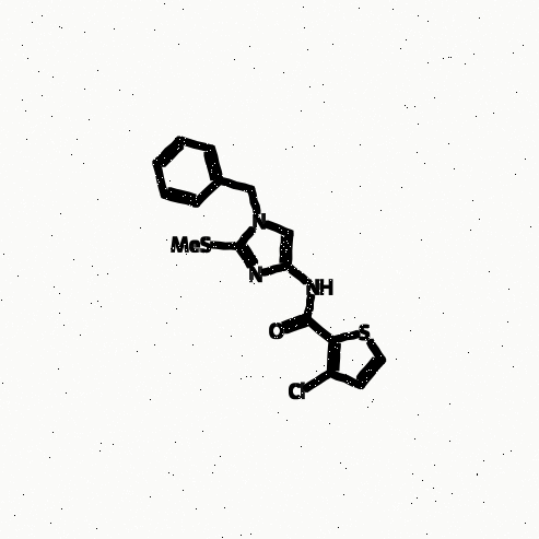 CSc1nc(NC(=O)c2sccc2Cl)cn1Cc1ccccc1